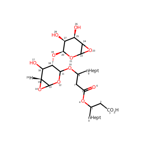 CCCCCCCC(CC(=O)O)OC(=O)CC(CCCCCCC)OC1OC2O[C@@H]2C(O)[C@@H]1O[C@@H]1OC2OC2[C@H](O)[C@@H]1O